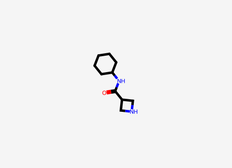 O=C(NC1CCCCC1)C1CNC1